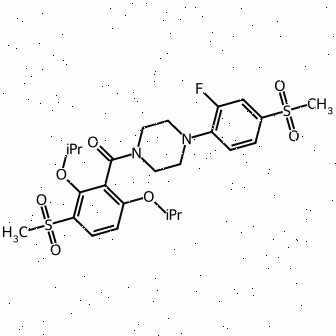 CC(C)Oc1ccc(S(C)(=O)=O)c(OC(C)C)c1C(=O)N1CCN(c2ccc(S(C)(=O)=O)cc2F)CC1